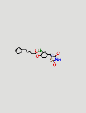 O=C(CCCCc1ccccc1)Oc1ccc(/C=C2\SC(=O)NC2=O)cc1Cl